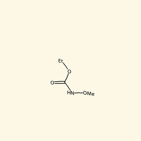 [CH2]ONC(=O)OCC